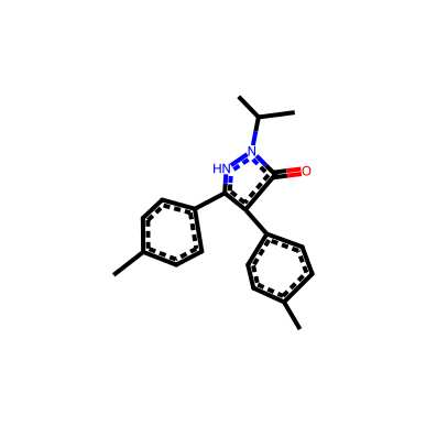 Cc1ccc(-c2[nH]n(C(C)C)c(=O)c2-c2ccc(C)cc2)cc1